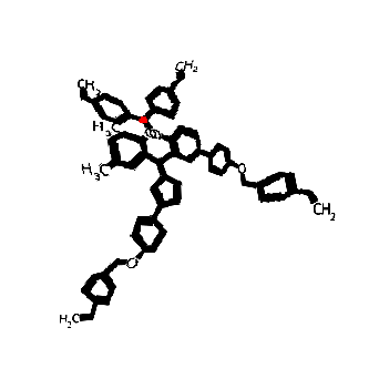 C=Cc1ccc(COc2ccc(C3=CC(C(c4cc(-c5ccc(OCc6ccc(C=C)cc6)cc5)ccc4OCc4ccc(C=C)cc4)c4cc(C)cc(C)c4OCc4ccc(C=C)cc4)C=C3)cc2)cc1